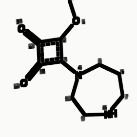 COc1c(N2CCCNCC2)c(=O)c1=O